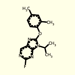 Cc1ccc(Oc2nc3cnc(F)nc3n2C(C)C)c(C)c1